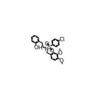 COc1ccc(CN(CCc2ccccc2O)S(=O)(=O)c2ccc(Cl)cc2)cc1OC